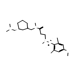 COc1cc(C)c(S(=O)(=O)N(C)CCC(=O)N(C)CC2CCC[C@H](CN(C)C)C2)c(C)c1